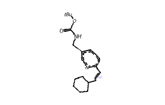 CC(C)(C)OC(=O)NCc1ccc(/C=C\C2CCCCC2)nc1